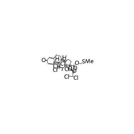 CSCOC(=O)[C@@]1(OC(=O)C(Cl)Cl)CC[C@H]2[C@@H]3CCC4=CC(=O)C=C[C@]4(C)[C@@]3(Cl)[C@@H](Cl)C[C@@]21C